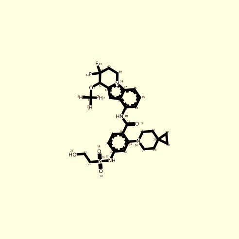 [2H]C([2H])([2H])OC1c2cc3c(NC(=O)c4ccc(NS(=O)(=O)CCO)cc4N4CCC5(CC4)CC5)cccc3n2CCC1(F)F